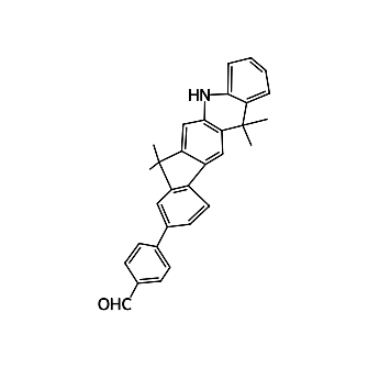 CC1(C)c2ccccc2Nc2cc3c(cc21)-c1ccc(-c2ccc(C=O)cc2)cc1C3(C)C